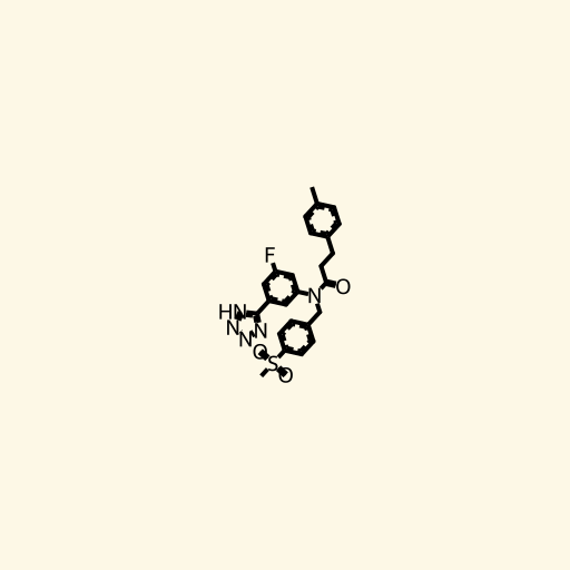 Cc1ccc(CCC(=O)N(Cc2ccc(S(C)(=O)=O)cc2)c2cc(F)cc(-c3nnn[nH]3)c2)cc1